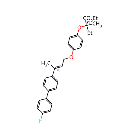 CCOC(=O)[C@](C)(CC)Oc1ccc(OC/C=C(\C)c2ccc(-c3ccc(F)cc3)cc2)cc1